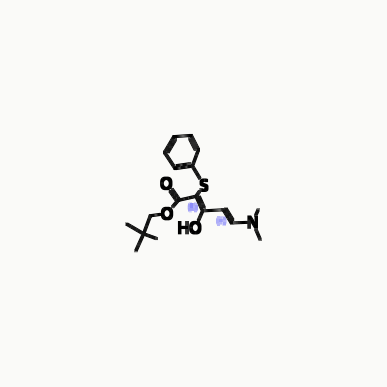 CN(C)/C=C/C(O)=C(\Sc1ccccc1)C(=O)OCC(C)(C)C